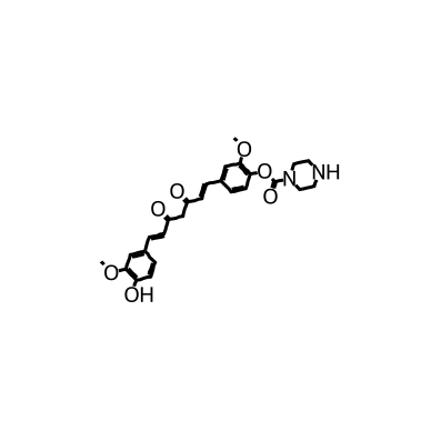 COc1cc(/C=C/C(=O)CC(=O)/C=C/c2ccc(OC(=O)N3CCNCC3)c(OC)c2)ccc1O